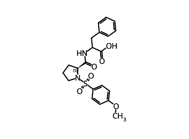 COc1ccc(S(=O)(=O)N2CCC[C@H]2C(=O)NC(Cc2ccccc2)C(=O)O)cc1